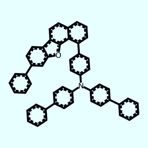 c1ccc(-c2ccc(N(c3ccc(-c4ccccc4)cc3)c3ccc(-c4cccc5ccc6c7ccc(-c8ccccc8)cc7oc6c45)cc3)cc2)cc1